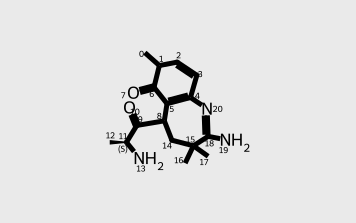 CC1C=CC2=C(C1=O)C(C(=O)[C@H](C)N)CC(C)(C)C(N)=N2